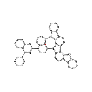 c1ccc(-c2nc(-c3ccc(-n4c5ccc6c7ccccc7oc6c5c5ccc6c7ccccc7n(-c7ccccc7)c6c54)cc3)nc3ccccc23)cc1